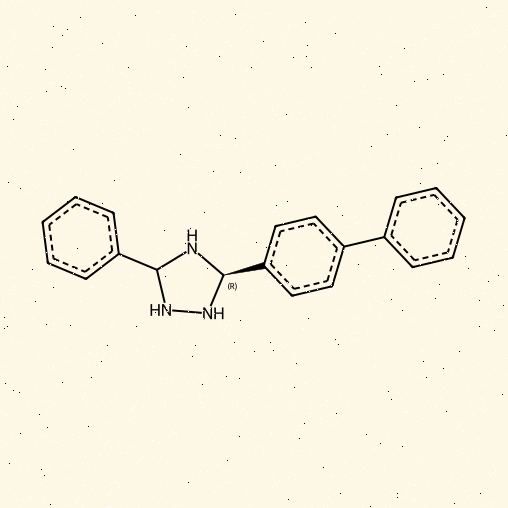 c1ccc(-c2ccc([C@H]3NNC(c4ccccc4)N3)cc2)cc1